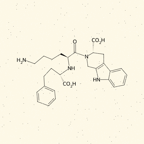 NCCCC[C@H](N[C@@H](CCc1ccccc1)C(=O)O)C(=O)N1Cc2[nH]c3ccccc3c2C[C@H]1C(=O)O